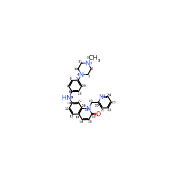 CN1CCN(c2ccc(Nc3ccc4ccc(=O)n(Cc5ccccn5)c4c3)cc2)CC1